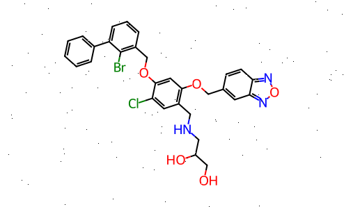 OCC(O)CNCc1cc(Cl)c(OCc2cccc(-c3ccccc3)c2Br)cc1OCc1ccc2nonc2c1